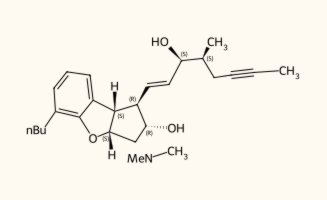 CC#CC[C@H](C)[C@H](O)C=C[C@@H]1[C@H]2c3cccc(CCCC)c3O[C@H]2C[C@H]1O.CNC